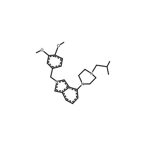 COc1ccc(Cn2cc3cccc(N4CCN(CC(C)C)CC4)c3c2)cc1OC